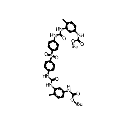 CCC(C)OC(=O)Nc1ccc(C)c(NC(=O)Nc2ccc(S(=O)(=O)c3ccc(NC(=O)Nc4cc(NC(=O)OC(C)CC)ccc4C)cc3)cc2)c1